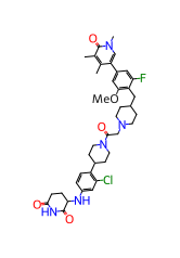 COc1cc(-c2cn(C)c(=O)c(C)c2C)cc(F)c1CC1CCN(CC(=O)N2CCC(c3ccc(NC4CCC(=O)NC4=O)cc3Cl)CC2)CC1